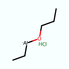 CCC[O][Al][CH2]C.Cl